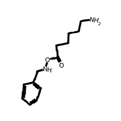 NCCCCCC(=O)ONCc1ccccc1